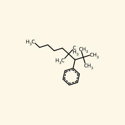 CCCCCC(C)(C)[C](c1ccccc1)C(C)(C)C